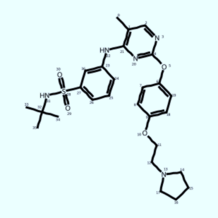 Cc1cnc(Oc2ccc(OCCN3CCCC3)cc2)nc1Nc1cccc(S(=O)(=O)NC(C)(C)C)c1